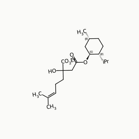 CCOC(=O)C(O)(CCC=C(C)C)CC(=O)O[C@H]1C[C@H](C)CC[C@@H]1C(C)C